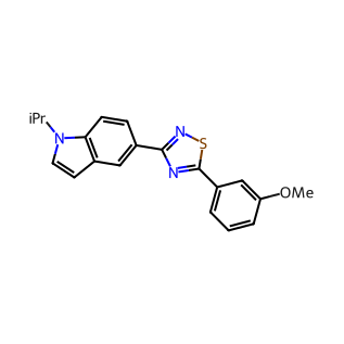 COc1cccc(-c2nc(-c3ccc4c(ccn4C(C)C)c3)ns2)c1